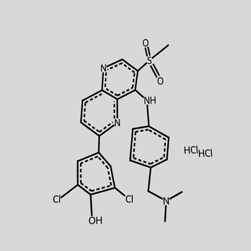 CN(C)Cc1ccc(Nc2c(S(C)(=O)=O)cnc3ccc(-c4cc(Cl)c(O)c(Cl)c4)nc23)cc1.Cl.Cl